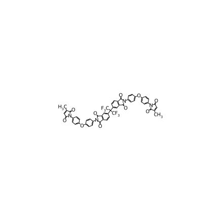 CC1=CC(=O)N(c2ccc(Oc3ccc(N4C(=O)c5ccc(C(c6ccc7c(c6)C(=O)N(c6ccc(Oc8ccc(N9C(=O)C=C(C)C9=O)cc8)cc6)C7=O)(C(F)(F)F)C(F)(F)F)cc5C4=O)cc3)cc2)C1=O